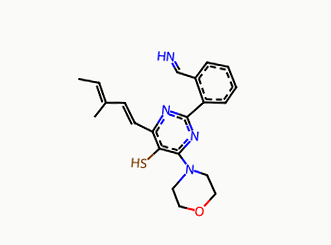 C/C=C(C)/C=C/c1nc(-c2ccccc2C=N)nc(N2CCOCC2)c1S